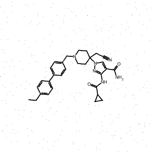 CCc1ccc(-c2ccc(CN3CCC(CC#N)(n4cc(C(N)=O)c(NC(=O)C5CC5)n4)CC3)cc2)cc1